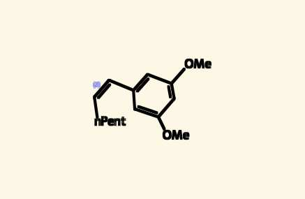 CCCCC/C=C\c1cc(OC)cc(OC)c1